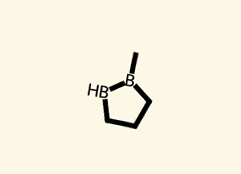 CB1BCCC1